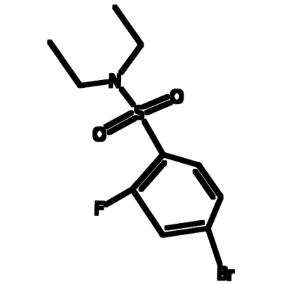 CCN(CC)S(=O)(=O)c1ccc(Br)cc1F